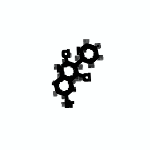 Clc1nc2ccc(Br)cc2c(Cl)c1-c1ccccn1